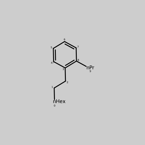 CCCCCCCCc1[c]cccc1CCC